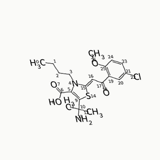 CCCCN1C(C(=O)O)=C(C(C)(C)N)S/C1=C\C(=O)c1cc(Cl)ccc1OC